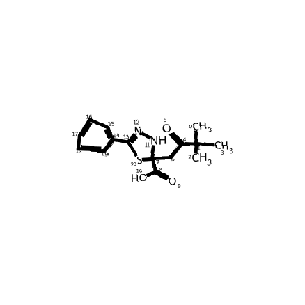 CC(C)(C)C(=O)CC1(C(=O)O)NN=C(c2ccccc2)S1